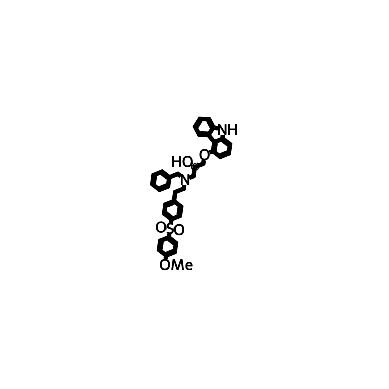 COc1ccc(S(=O)(=O)c2ccc(CCN(Cc3ccccc3)C[C@H](O)COc3cccc4[nH]c5ccccc5c34)cc2)cc1